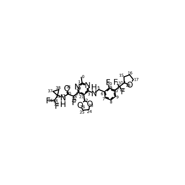 Cc1nc(NCc2cccc(C(F)(F)C3CCCO3)c2F)c(C2OCCO2)c(C(F)C(=O)NC2(C(F)F)CC2)n1